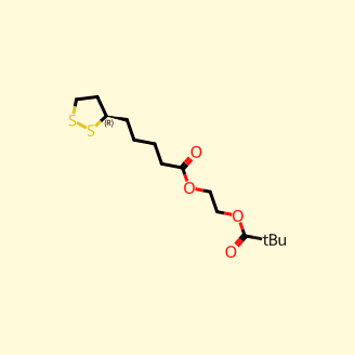 CC(C)(C)C(=O)OCCOC(=O)CCCC[C@@H]1CCSS1